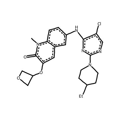 CCC1CCN(c2ncc(Cl)c(Nc3ccc4c(c3)cc(OC3COC3)c(=O)n4C)n2)CC1